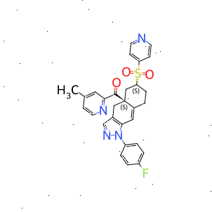 Cc1ccnc(C(=O)[C@]23Cc4cnn(-c5ccc(F)cc5)c4C=C2CC[C@H](S(=O)(=O)c2ccncc2)C3)c1